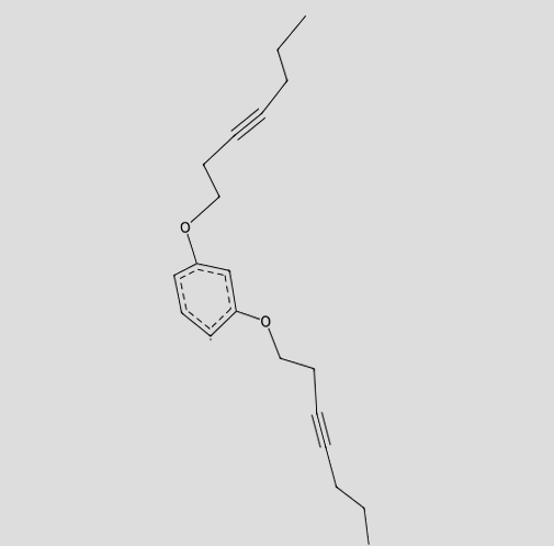 CCCC#CCCOc1[c]ccc(OCCC#CCCC)c1